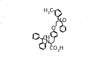 Cc1cccc(N(CCOc2ccc(CC(Nc3ccccc3C(=O)c3ccccc3)C(=O)O)cc2)C(=O)c2ccccc2)c1